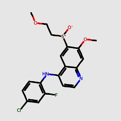 COCC[S+]([O-])c1cc2c(Nc3ccc(Cl)cc3F)ccnc2cc1OC